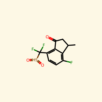 CC1CC(=O)c2c(C(F)(F)[SH](=O)=O)ccc(F)c21